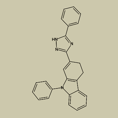 C1=C(c2n[nH]c(-c3ccccc3)n2)CCc2c1n(-c1ccccc1)c1ccccc21